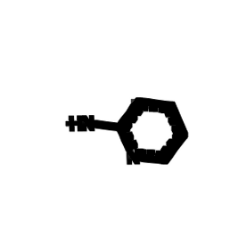 [NH]c1[c]cccn1